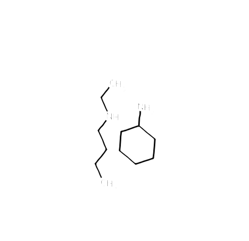 CCCCNCC.NC1CCCCC1